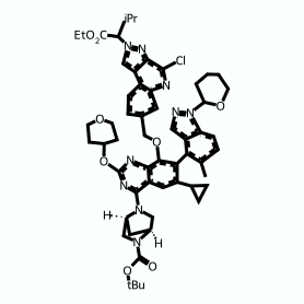 CCOC(=O)C(C(C)C)n1cc2c(n1)c(Cl)nc1cc(COc3c(-c4c(C)ccc5c4cnn5C4CCCCO4)c(C4CC4)cc4c(N5C[C@@H]6C[C@H]5CN6C(=O)OC(C)(C)C)nc(OC5CCOCC5)nc34)ccc12